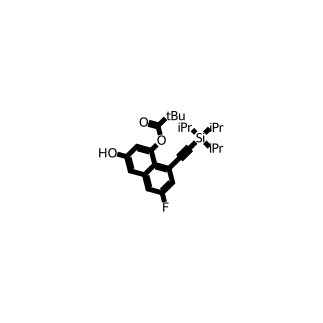 CC(C)[Si](C#Cc1cc(F)cc2cc(O)cc(OC(=O)C(C)(C)C)c12)(C(C)C)C(C)C